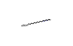 [CH]=C/C=C/C=C/CCCCCCCCCCCCCCCCCCC